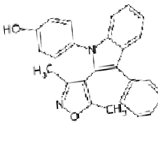 Cc1noc(C)c1-c1c(-c2ccccc2)c2ccccc2n1-c1ccc(O)cc1